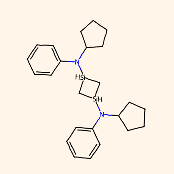 c1ccc(N(C2CCCC2)[SiH]2C[SiH](N(c3ccccc3)C3CCCC3)C2)cc1